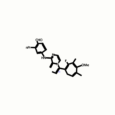 C=C1C(Nc2ccc(C=O)c(CCC)c2)=NC=CN1/C(=C\C)C1=C(F)C(C)=C(OC)C(C)=CC1